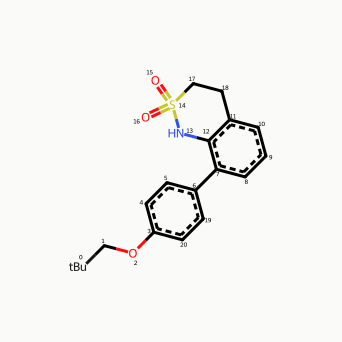 CC(C)(C)COc1ccc(-c2cccc3c2NS(=O)(=O)CC3)cc1